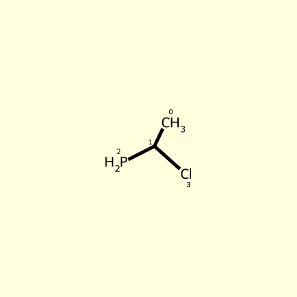 CC(P)Cl